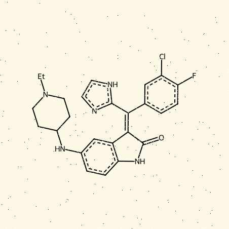 CCN1CCC(Nc2ccc3c(c2)C(=C(c2ccc(F)c(Cl)c2)c2ncc[nH]2)C(=O)N3)CC1